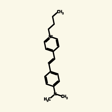 CCCC[n+]1ccc(/C=C/c2ccc(N(C)C)cc2)cc1